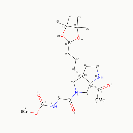 COC(=O)[C@]12CN(C(=O)CNC(=O)OC(C)(C)C)C[C@@]1(CCCB1OC(C)(C)C(C)(C)O1)CCN2